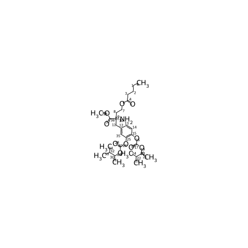 CCCCC(=O)OCC[C@@](N)(Cc1ccc(OC(=O)O[C@@H](C)C(C)C)c(OC(=O)OC(C)C(C)C)c1)C(=O)OC